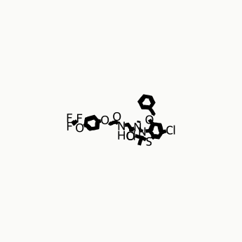 CN(C(=O)CNC(=O)COc1ccc(OC(F)(F)F)cc1)N1c2c(OCc3ccccc3)cc(Cl)cc2SC1(C)Cl